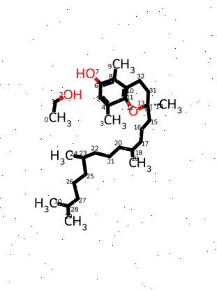 CCO.Cc1cc(O)c(C)c2c1O[C@](C)(CCCC(C)CCCC(C)CCCC(C)C)CC2